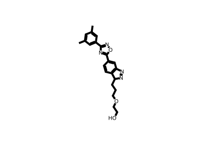 Cc1cc(C)cc(-c2noc(-c3ccc4c(c3)N=NC4CCCOCCO)n2)c1